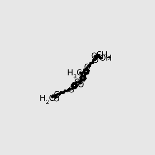 C=CC(=O)OCCCCCCOc1ccc(OC(=O)c2ccc3c(c2)C(C)c2cc(OCCCCOC(=O)C(=C)CO)ccc2-3)cc1